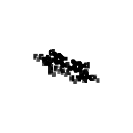 Cc1cc(Cl)c(-n2nc(C(F)(F)F)nc2N)cc1C(SC(c1cc(-n2nc(C(F)(F)F)nc2N)c(Cl)cc1C)C(F)(F)F)C(F)(F)F